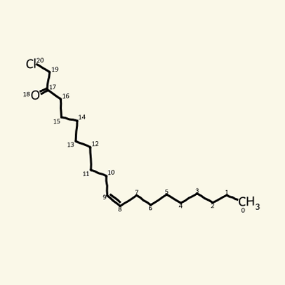 CCCCCCCC/C=C\CCCCCCCC(=O)CCl